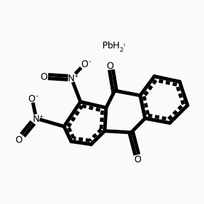 O=C1c2ccccc2C(=O)c2c1ccc([N+](=O)[O-])c2[N+](=O)[O-].[PbH2]